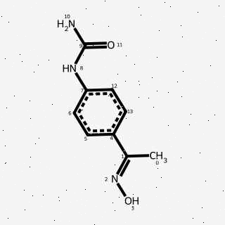 C/C(=N\O)c1ccc(NC(N)=O)cc1